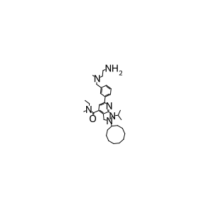 CCN(C)C(=O)c1cc(-c2cccc(CN(C)CCN)c2)nc2c1CN(C1CCCCCCCCC1)N2C(C)C